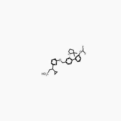 CC1(C)CCC[C@H]1c1cc(COc2cccc(C(CC(=O)O)C3CC3)c2)ccc1-c1cccc(OC(F)F)c1